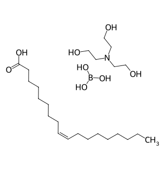 CCCCCCCC/C=C\CCCCCCCC(=O)O.OB(O)O.OCCN(CCO)CCO